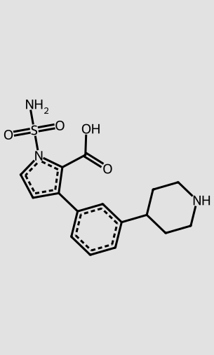 NS(=O)(=O)n1ccc(-c2cccc(C3CCNCC3)c2)c1C(=O)O